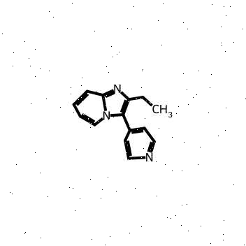 CCc1nc2ccccn2c1-c1ccncc1